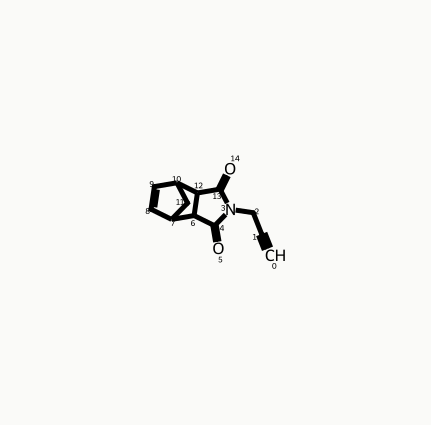 C#CCN1C(=O)C2C3C=CC(C3)C2C1=O